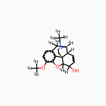 [2H]C([2H])([2H])Oc1ccc2c3c1OC1([2H])C([2H])(O)C=C[C@@H]4[C@@]31CCN(C([2H])([2H])[2H])[C@]4([2H])C2([2H])[2H]